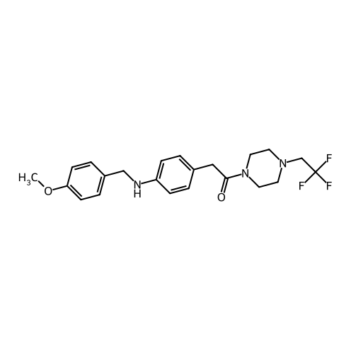 COc1ccc(CNc2ccc(CC(=O)N3CCN(CC(F)(F)F)CC3)cc2)cc1